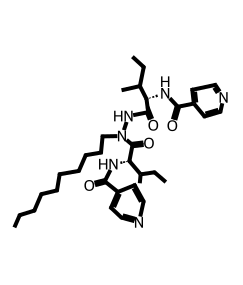 CCCCCCCCCCN(NC(=O)[C@@H](NC(=O)c1ccncc1)C(C)CC)C(=O)[C@@H](NC(=O)c1ccncc1)C(C)CC